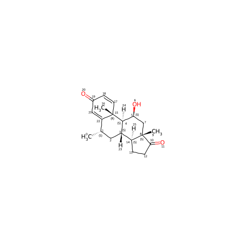 C[C@H]1C[C@@H]2[C@H]([C@@H](O)C[C@]3(C)C(=O)CC[C@@H]23)[C@@]2(C)C=CC(=O)C=C12